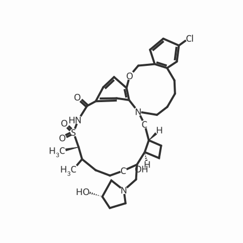 CC1CCC[C@@](O)(CN2CC[C@H](O)C2)[C@@H]2CC[C@H]2CN2CCCCc3cc(Cl)ccc3COc3ccc(cc32)C(=O)NS(=O)(=O)[C@@H]1C